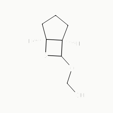 OCOC1S[C@H]2CCC[C@@H]12